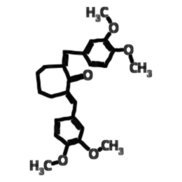 COc1ccc(C=C2CCCCC(=Cc3ccc(OC)c(OC)c3)C2=O)cc1OC